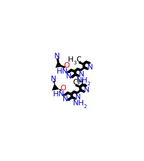 CCc1ccncc1-c1cc2cc(NC(=O)C3CC3C#N)ncc2c(N)n1.CCc1ccncc1-c1cc2cc(NC(=O)[C@@H]3C[C@H]3C#N)ncc2c(N)n1